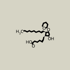 CCCCCCCC/C=C/[C@@H]1[C@@H](C/C=C\CCCC(=O)O)[C@@H](O)C[C@H]1OC1CCCCO1